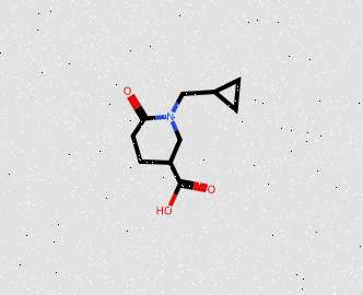 O=C(O)C1CCC(=O)N(CC2CC2)C1